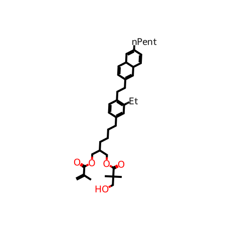 C=C(C)C(=O)OCC(CCCCc1ccc(CCC2=CC3C=CC(CCCCC)=CC3C=C2)c(CC)c1)COC(=O)C(C)(C)CO